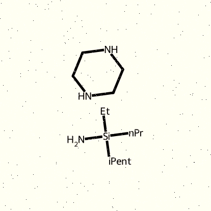 C1CNCCN1.CCCC(C)[Si](N)(CC)CCC